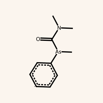 CN(C)C(=O)[As](C)c1cc[c]cc1